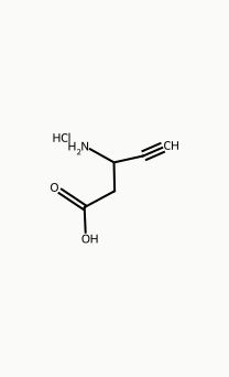 C#CC(N)CC(=O)O.Cl